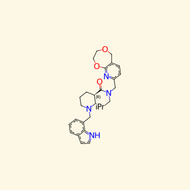 CC(C)CN(Cc1ccc2c(n1)OCCOC2)C(=O)[C@@H]1CCCN(Cc2cccc3cc[nH]c23)C1